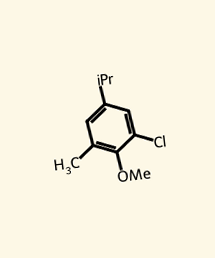 COc1c(C)cc(C(C)C)cc1Cl